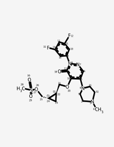 CN1CCN(c2cnn(-c3cc(F)cc(F)c3)c(=O)c2OC[C@H]2C[C@@H]2COS(C)(=O)=O)CC1